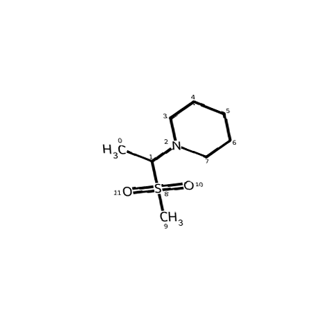 CC(N1C[CH]CCC1)S(C)(=O)=O